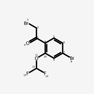 O=C(CBr)c1ccc(Br)cc1OC(F)F